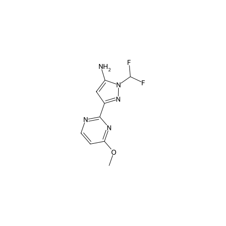 COc1ccnc(-c2cc(N)n(C(F)F)n2)n1